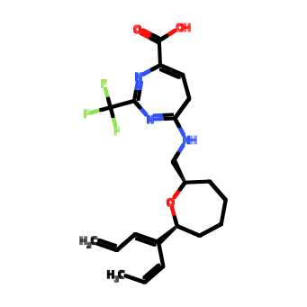 C=C/C=C(\C=C/C)[C@@H]1CCCC[C@H](CNC2=NC(C(F)(F)F)=NC(C(=O)O)=CC2)O1